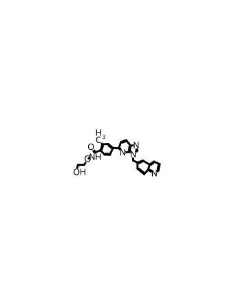 Cc1cc(-c2ccc3ncn(Cc4ccc5ncccc5c4)c3n2)ccc1C(=O)NOCCO